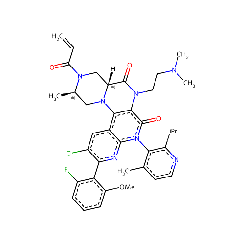 C=CC(=O)N1C[C@@H]2C(=O)N(CCN(C)C)c3c(c4cc(Cl)c(-c5c(F)cccc5OC)nc4n(-c4c(C)ccnc4C(C)C)c3=O)N2C[C@H]1C